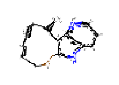 C=C1/C=C\C=C/CSc2[nH]c3cccnc3c21